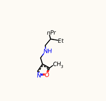 CCCC(CC)CNCc1cnoc1C